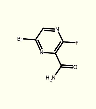 NC(=O)c1nc(Br)cnc1F